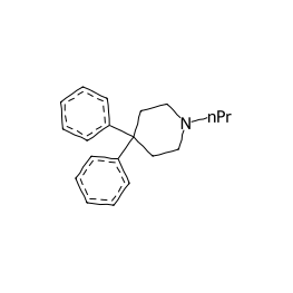 CCCN1CCC(c2ccccc2)(c2ccccc2)CC1